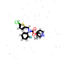 O=C(O[C@H]1CN2CCC1CC2)N(Cc1ccc(Cl)s1)c1ccccc1F